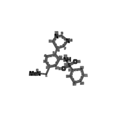 CNCc1ccc(-c2cncnc2)c(NS(=O)(=O)c2ccccc2)c1